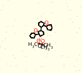 CC1(C)OB(c2ccc(-c3cccc4oc5ccccc5c34)c3oc4ccccc4c23)OC1(C)C